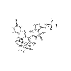 CS(=O)(=O)NCc1csc2c1S(=O)(=O)N=C(C1=C(O)[C@@H]3[C@@H]4CC[C@@H](C4)[C@@H]3N(Cc3ccc(F)cc3)C1=O)N2